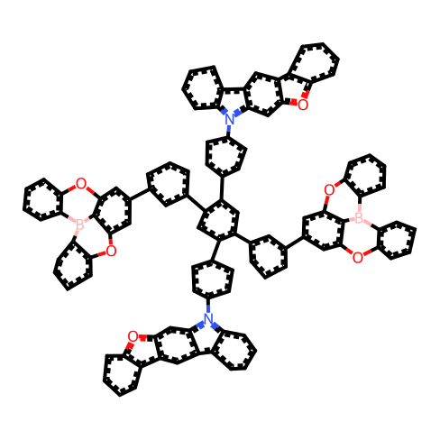 c1cc(-c2cc3c4c(c2)Oc2ccccc2B4c2ccccc2O3)cc(-c2cc(-c3ccc(-n4c5ccccc5c5cc6c(cc54)oc4ccccc46)cc3)c(-c3cccc(-c4cc5c6c(c4)Oc4ccccc4B6c4ccccc4O5)c3)cc2-c2ccc(-n3c4ccccc4c4cc5c(cc43)oc3ccccc35)cc2)c1